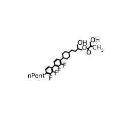 C=C(CO)C(=O)OCC(CO)CCC1CCC(c2ccc(-c3ccc(CCCCC)c(F)c3F)c(F)c2F)CC1